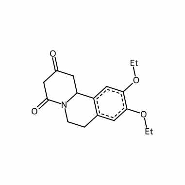 CCOc1cc2c(cc1OCC)C1CC(=O)CC(=O)N1CC2